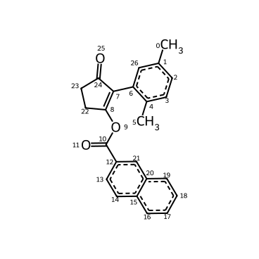 Cc1ccc(C)c(C2=C(OC(=O)c3ccc4ccccc4c3)CCC2=O)c1